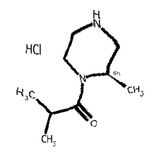 CC(C)C(=O)N1CCNC[C@H]1C.Cl